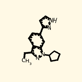 CCc1nn(C2CCCC2)c2cc(-c3cc[nH]n3)ccc12